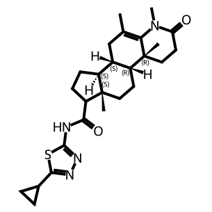 CC1=C2N(C)C(=O)CC[C@]2(C)[C@@H]2CC[C@]3(C)C(C(=O)Nc4nnc(C5CC5)s4)CC[C@H]3[C@@H]2C1